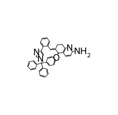 Nc1ccc2c(n1)CC/C(=C\c1ccccc1-c1cn(C(c3ccccc3)(c3ccccc3)c3ccccc3)cn1)C2=O